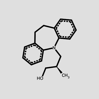 C[C@@H](CO)CN1c2ccccc2CCc2ccccc21